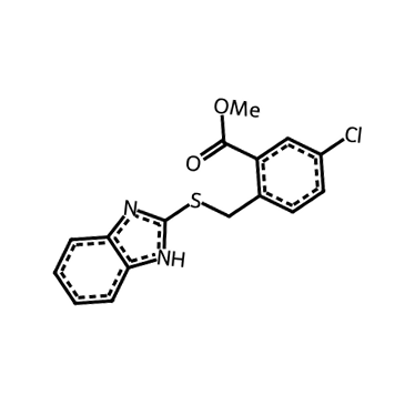 COC(=O)c1cc(Cl)ccc1CSc1nc2ccccc2[nH]1